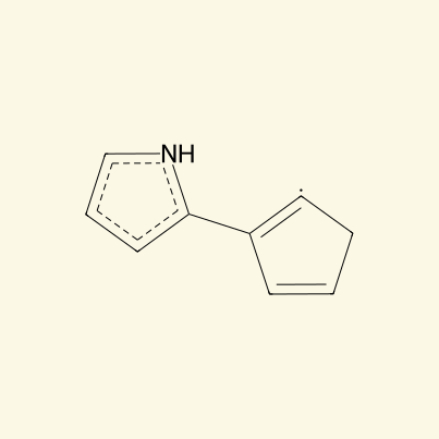 [C]1=C(c2ccc[nH]2)C=CC1